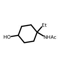 CCC1(NC(C)=O)CCC(O)CC1